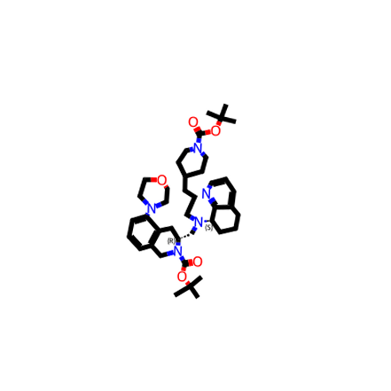 CC(C)(C)OC(=O)N1CCC(CCCN(C[C@H]2Cc3c(cccc3N3CCOCC3)CN2C(=O)OC(C)(C)C)[C@H]2CCCc3cccnc32)CC1